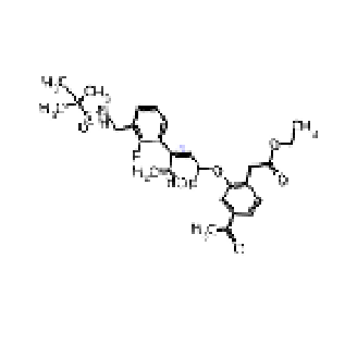 C=C(O)/C(=C\C(F)Oc1cc(C(C)=O)ccc1CC(=O)OCC)c1cccc(CN[S+]([O-])C(C)(C)C)c1F